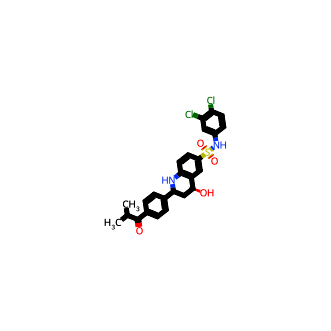 CC(C)C(=O)c1ccc(C2C[C@H](O)c3cc(S(=O)(=O)Nc4ccc(Cl)c(Cl)c4)ccc3N2)cc1